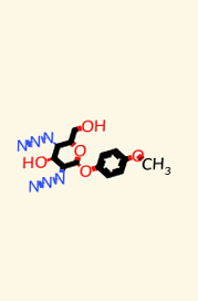 COc1ccc(O[C@@H]2OC(CO)[C@@H](N=[N+]=[N-])[C@H](O)C2N=[N+]=[N-])cc1